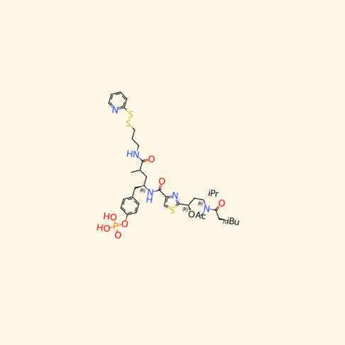 CC[C@H](C)CC(=O)N(C)[C@H](C[C@@H](OC(C)=O)c1nc(C(=O)N[C@@H](Cc2ccc(OP(=O)(O)O)cc2)CC(C)C(=O)NCCCSSc2ccccn2)cs1)C(C)C